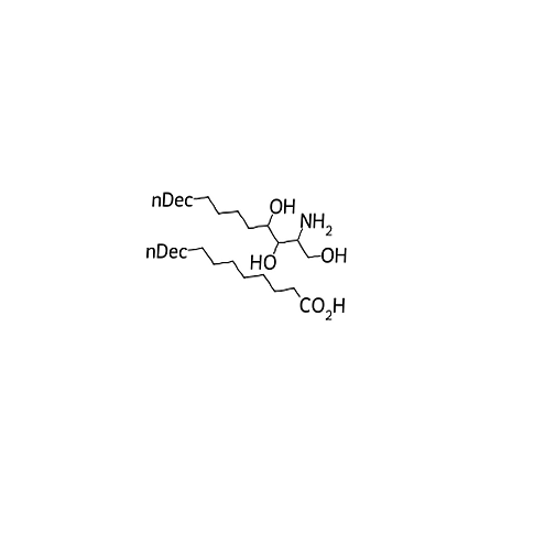 CCCCCCCCCCCCCCC(O)C(O)C(N)CO.CCCCCCCCCCCCCCCCCC(=O)O